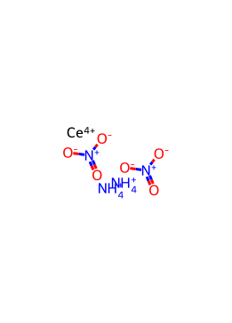 O=[N+]([O-])[O-].O=[N+]([O-])[O-].[Ce+4].[NH4+].[NH4+]